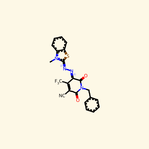 Cn1/c(=N/N=C2/C(=O)N(Cc3ccccc3)C(=O)C(C#N)=C2C(F)(F)F)sc2ccccc21